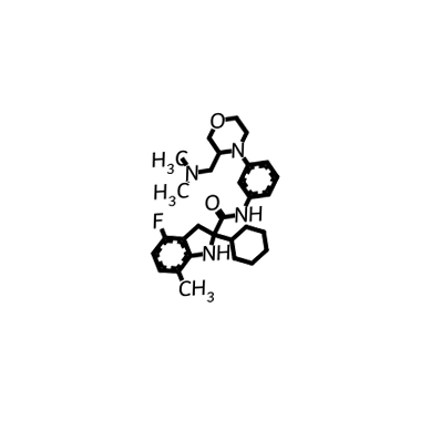 Cc1ccc(F)c2c1NC(C(=O)Nc1cccc(N3CCOCC3CN(C)C)c1)(C1CCCCC1)C2